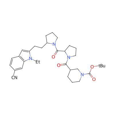 CCn1c(CCC2CCCN2C(=O)C2CCCN2C(=O)C2CCCN(C(=O)OC(C)(C)C)C2)cc2ccc(C#N)cc21